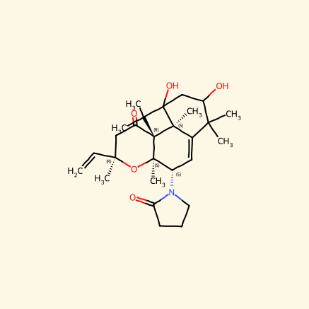 C=C[C@@]1(C)CC(=O)[C@@]23C(C)(C)C4(O)CC(O)C(C)(C)C(=C[C@H](N5CCCC5=O)[C@@]2(C)O1)[C@]43C